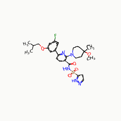 COC1(C)CCN(c2nc(-c3cc(F)cc(OCC(C)C)c3)ccc2C(=O)NS(=O)(=O)c2ccn[nH]2)CC1